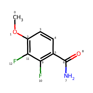 COc1ccc(C(N)=O)c(F)c1F